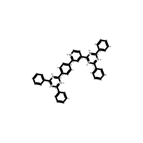 c1ccc(-c2nc(-c3ccccc3)nc(-c3ccc(-c4cc(-c5nc(-c6ccccc6)nc(-c6ccccc6)n5)ccn4)cc3)n2)cc1